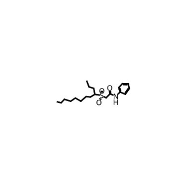 CCCCCCCCC(CCC)S(=O)(=O)CC(=O)Nc1ccccc1